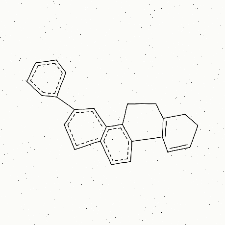 C1=CC2=C(CC1)CCc1c2ccc2ccc(-c3ccccc3)cc12